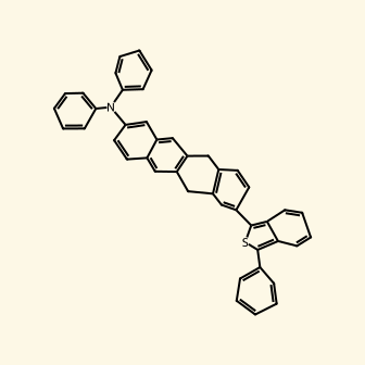 c1ccc(-c2sc(-c3ccc4c(c3)Cc3cc5ccc(N(c6ccccc6)c6ccccc6)cc5cc3C4)c3ccccc23)cc1